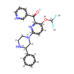 O=C(c1cccnc1)c1nc(N2CCNC(c3ccccc3)C2)ccc1OC(F)F